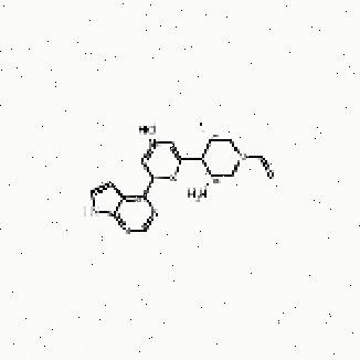 C[C@@H]1CN(C=O)C[C@H](N)C1C1=CN=CC(c2ncnc3[nH]ccc23)S1.Cl